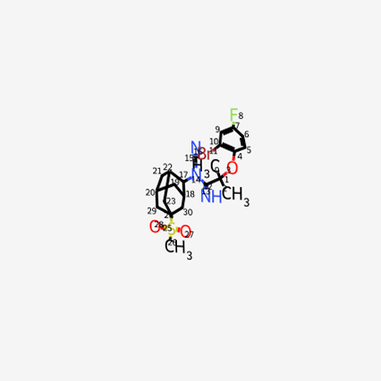 CC(C)(Oc1ccc(F)cc1Br)C(=N)N(C#N)C1C2CC3CC1CC(S(C)(=O)=O)(C3)C2